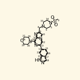 CS(=O)(=O)N1CCN(Cc2cn3cc(-c4ccc5cn[nH]c5c4)nc(N4CCOCC4)c3n2)CC1